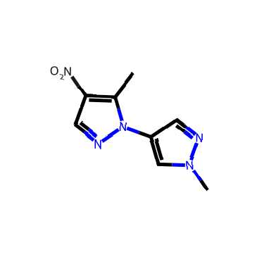 Cc1c([N+](=O)[O-])cnn1-c1cnn(C)c1